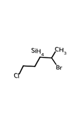 CC(Br)CCCCl.[SiH4]